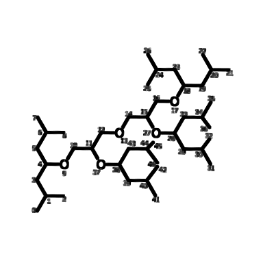 CC(C)CC(CC(C)C)OCC(COCC(COC(CC(C)C)CC(C)C)OC(CC(C)C)CC(C)C)OC(CC(C)C)CC(C)C